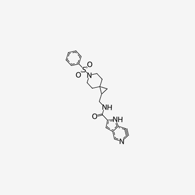 O=C(NCC1CC12CCN(S(=O)(=O)c1ccccc1)CC2)c1cc2cnc#cc2[nH]1